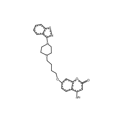 CCCc1cc(=O)oc2cc(OCCCCN3CCN(c4nsc5ccccc45)CC3)ccc12